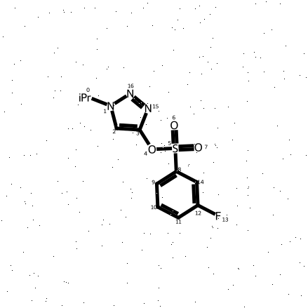 CC(C)n1cc(OS(=O)(=O)c2cccc(F)c2)nn1